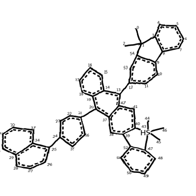 CC1(C)c2ccccc2-c2ccc(-c3c4ccccc4c(-c4ccc(-c5cccc6ccccc56)cc4)c4cc5c(cc34)[SH](C)(C)(C)c3ccccc3-5)cc21